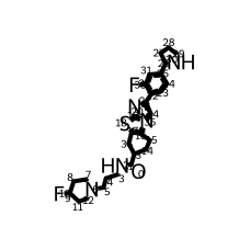 O=C(NCCCN1CCC(F)CC1)C1CCc2c(sc3nc(-c4ccc(C5CCCN5)cc4F)cn23)C1